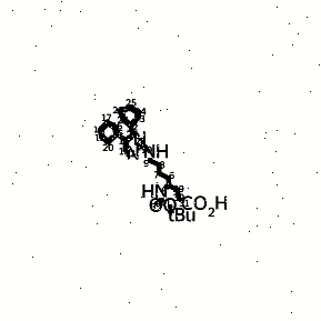 CC(C)(C)OC(=O)NC(CCCCNc1ncc(-c2ccccc2)c(-c2ccccc2)n1)CCC(=O)O